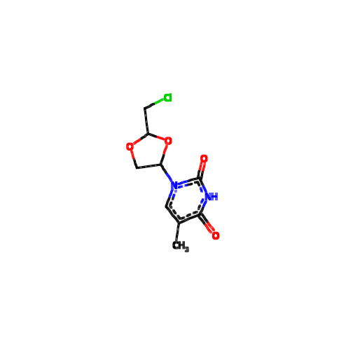 Cc1cn(C2COC(CCl)O2)c(=O)[nH]c1=O